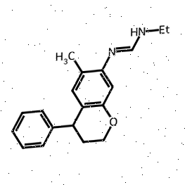 CCN/C=N/c1cc2c(cc1C)C(c1ccccc1)CCO2